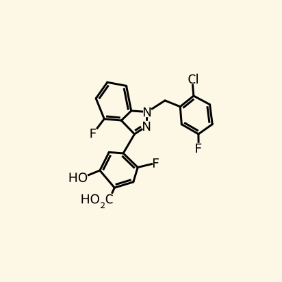 O=C(O)c1cc(F)c(-c2nn(Cc3cc(F)ccc3Cl)c3cccc(F)c23)cc1O